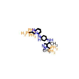 C=C(NC1CCC(Nc2cccc3nc(C(P)(P)P)cn23)CC1)c1cnn(C)c1C(P)P